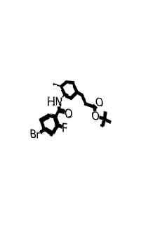 C[C@H]1CCC(CCC(=O)OC(C)(C)C)C[C@@H]1NC(=O)c1ccc(Br)cc1F